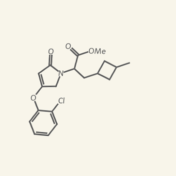 COC(=O)C(CC1CC(C)C1)N1CC(Oc2ccccc2Cl)=CC1=O